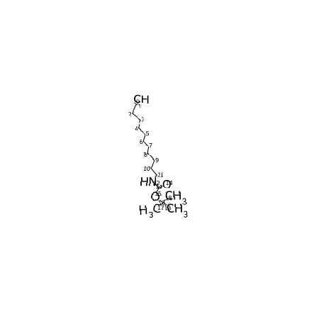 C#CCCCCCCCCCCNC(=O)OC(C)(C)C